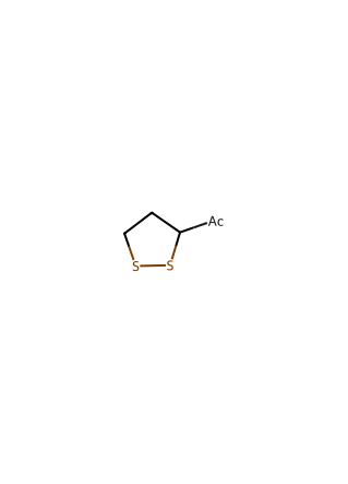 CC(=O)C1CCSS1